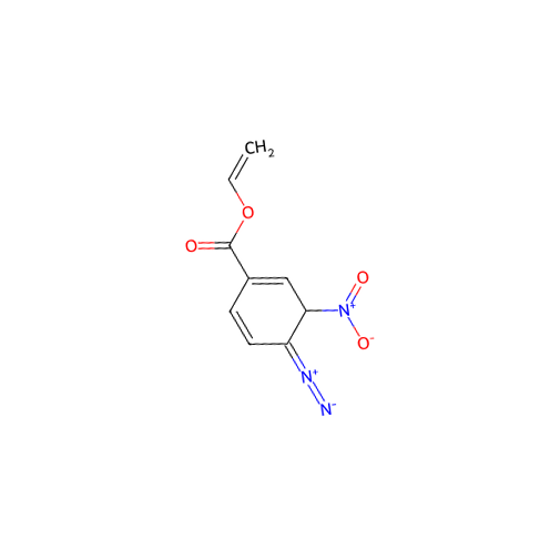 C=COC(=O)C1=CC([N+](=O)[O-])C(=[N+]=[N-])C=C1